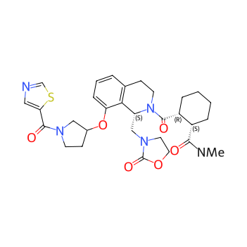 CNC(=O)[C@H]1CCCC[C@H]1C(=O)N1CCc2cccc(OC3CCN(C(=O)c4cncs4)C3)c2[C@H]1CN1CCOC1=O